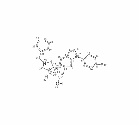 Cc1cc2c(cnn2-c2ccc(F)cc2)cc1[C@@]12CN(Cc3ccccc3)C[C@@H]1[C@H]2CO